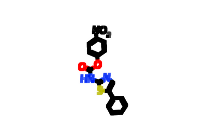 O=C(Nc1ncc(-c2ccccc2)s1)Oc1ccc([N+](=O)[O-])cc1